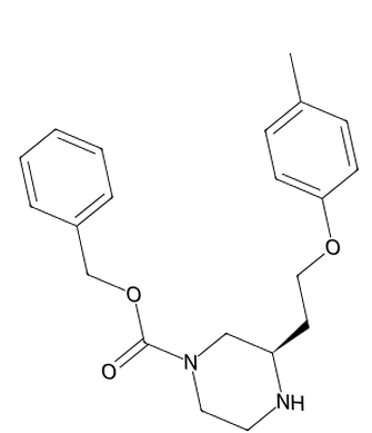 Cc1ccc(OCC[C@@H]2CN(C(=O)OCc3ccccc3)CCN2)cc1